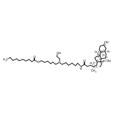 CCCCCCCCCC(=O)OCCCCCCN(CCO)CCCCCCNC(=O)CC[C@@H](C)[C@H]1CC[C@H]2[C@@H]3[C@@H](O)C[C@@H]4C[C@H](O)CC[C@]4(C)[C@H]3CC[C@]12C